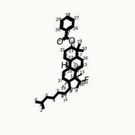 CC(C)CCC[C@@H](C)[C@H]1C[C@H](F)[C@@]2(C)C3=CCC4C(C)(C)[C@@H](OC(=O)c5ccccc5)CC[C@]4(C)[C@H]3CC[C@]12C